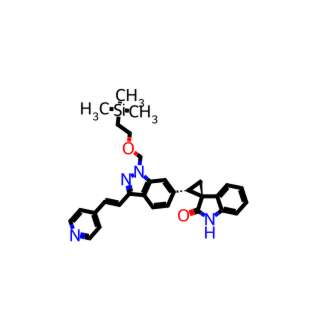 C[Si](C)(C)CCOCn1nc(C=Cc2ccncc2)c2ccc([C@@H]3C[C@@]34C(=O)Nc3ccccc34)cc21